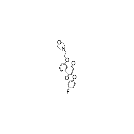 O=C1C(Oc2ccc(F)cc2)=CC(=O)c2c(OCCN3CCOCC3)cccc21